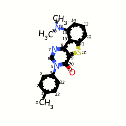 Cc1ccc(-n2cnc3c(sc4cccc(N(C)C)c43)c2=O)cc1